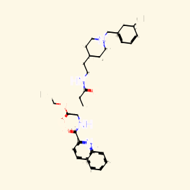 CCOC(=O)[C@H](CCC(=O)NCCC1CCN(CC2=CC=CC(C)C2)CC1)NC(=O)c1ccc2ccccc2n1